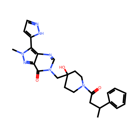 CC(CC(=O)N1CCC(O)(Cn2cnc3c(-c4ccn[nH]4)n(C)nc3c2=O)CC1)c1ccccc1